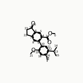 COC(=O)c1cc2c(cc1-c1cc(C(C)C)c(F)cc1OC)CCC2=O